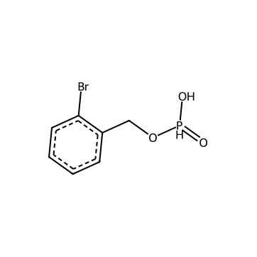 O=[PH](O)OCc1ccccc1Br